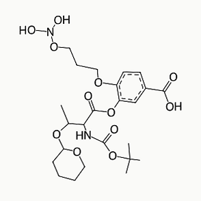 CC(OC1CCCCO1)C(NC(=O)OC(C)(C)C)C(=O)Oc1cc(C(=O)O)ccc1OCCCON(O)O